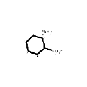 O=C(O)C1CCCCC1.[PbH2]